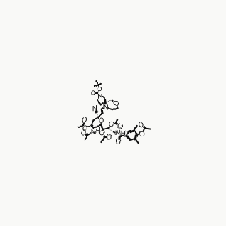 CC(=O)N[C@H]1[C@H]([C@H](OC(C)=O)[C@@H](CNC(=O)c2cc(C)c(OC(C)=O)c(C)c2)OC(C)=O)O[C@](C#N)(CCN2CCOC[C@@]23CCN(C(=O)OC(C)(C)C)C3)C[C@@H]1OC(C)=O